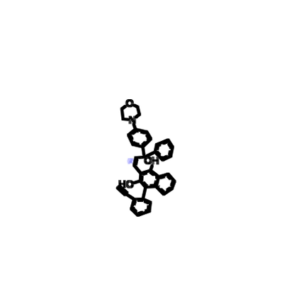 C#Cc1ccccc1-c1c(O)c(/C=C\C(O)(c2ccccc2)c2ccc(N3CCOCC3)cc2)c(C)c2ccccc12